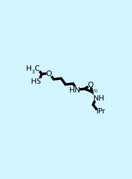 CC(C)CN[C@H]1OC1NCCCCOC(C)S